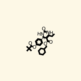 CCC1=C(C(=O)OCC2CCCCC2)[C@H](c2ccc(OC(=O)C(C)(C)C)cc2)NC(=O)N1